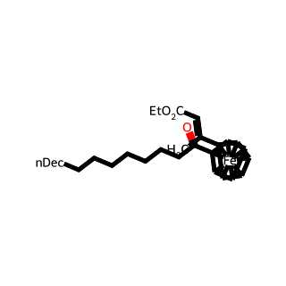 CCCCCCCCCCCCCCCCCC(=O)[C]12[CH]3[CH]4[CH]5[CH]1[Fe]45321678[CH]2[CH]1[CH]6[C]7(C(C)=CC(=O)OCC)[CH]28